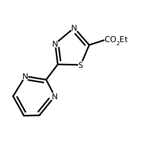 CCOC(=O)c1nnc(-c2ncccn2)s1